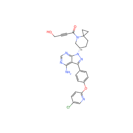 Nc1ncnc2c1c(-c1ccc(Oc3ccc(Cl)cn3)cc1)nn2[C@H]1CCC2(CC2)N(C(=O)C#CCO)C1